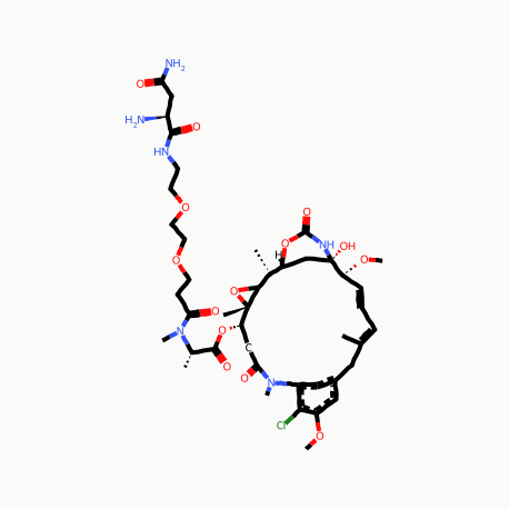 COc1cc2cc(c1Cl)N(C)C(=O)C[C@H](OC(=O)[C@H](C)N(C)C(=O)CCOCCOCCNC(=O)[C@@H](N)CC(N)=O)[C@]1(C)OC1[C@H](C)[C@@H]1C[C@@](O)(NC(=O)O1)[C@H](OC)/C=C/C=C(\C)C2